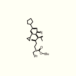 C=C(C)/C(C(=C)CCN(CC(C)C)C(=O)OC(C)(C)C)=C1/C(C2CC2)=CC(C2CCCC2)=C/C1=N/C